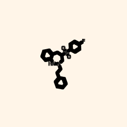 O=S(=O)(c1ccc(F)cc1)C1Cc2ccccc2NN(CCc2ccccc2)C1